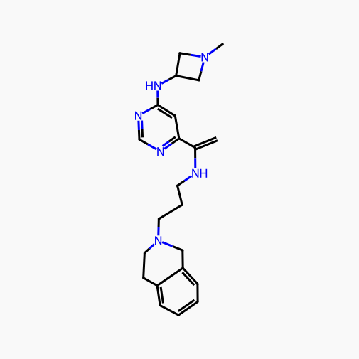 C=C(NCCCN1CCc2ccccc2C1)c1cc(NC2CN(C)C2)ncn1